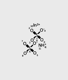 O=S(=O)([O-])[O-].O=S(=O)([O-])[O-].[In+3].[NH4+]